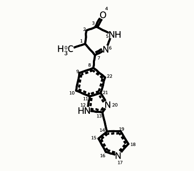 CC1CC(=O)NN=C1c1ccc2[nH]c(-c3ccncc3)nc2c1